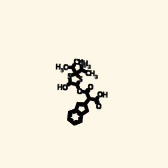 CC(C)C1(C(C)C)SC(O)C(OC(=O)C(C(=O)O)C2=Cc3ccccc3C2)S1